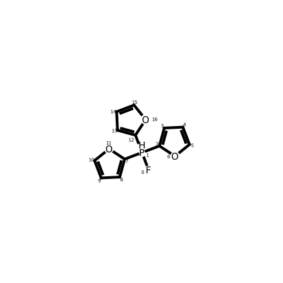 F[PH](c1ccco1)(c1ccco1)c1ccco1